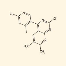 Cc1cc2c(-c3ccc(Cl)cc3F)nc(Cl)nc2nc1C